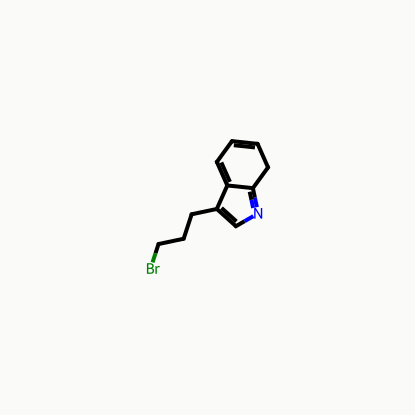 BrCCCC1=CN=C2CC=CC=C12